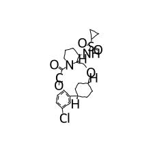 O=C1COc2ccc(Cl)cc2[C@H]2CC[C@H](CC2)OC[C@H]2[C@@H](NS(=O)(=O)C3CC3)CCCN12